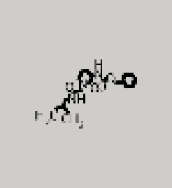 CCC(CC)CNC(=O)Cn1cccc(NC(=O)OCc2ccccc2)c1=O